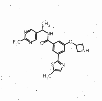 Cc1cnc(-c2cc(OC3CNC3)cc(C(=O)N[C@H](C)c3cnc(C(F)(F)F)nc3)c2)s1